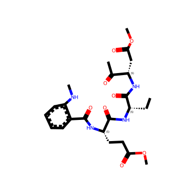 CC[C@H](NC(=O)[C@H](CCC(=O)OC)NC(=O)c1ccccc1NC)C(=O)N[C@@H](CC(=O)OC)C(C)=O